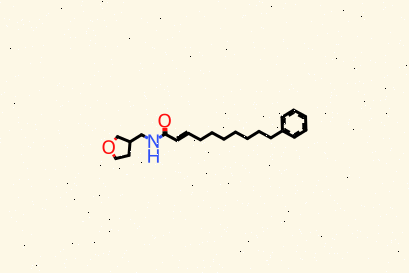 O=C(C=CCCCCCCCc1ccccc1)NCC1CCOC1